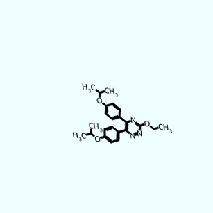 CCOc1nnc(-c2ccc(OC(C)C)cc2)c(-c2ccc(OC(C)C)cc2)n1